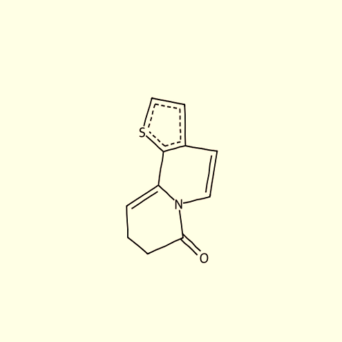 O=C1CCC=C2c3sccc3C=CN12